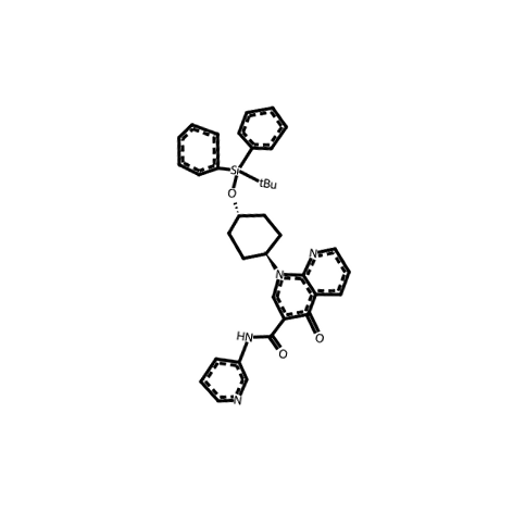 CC(C)(C)[Si](O[C@H]1CC[C@H](n2cc(C(=O)Nc3cccnc3)c(=O)c3cccnc32)CC1)(c1ccccc1)c1ccccc1